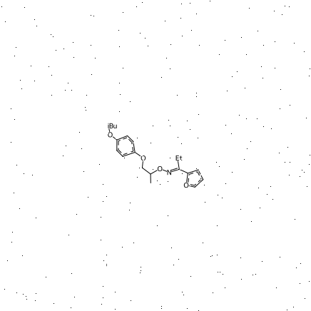 CC/C(=N\OC(C)COc1ccc(OC(C)CC)cc1)c1ccco1